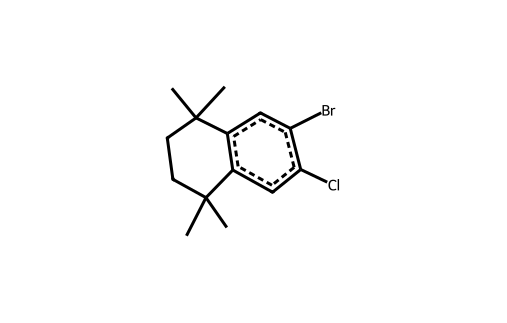 CC1(C)CCC(C)(C)c2cc(Br)c(Cl)cc21